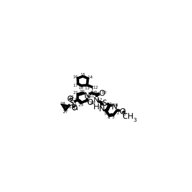 COc1ccc2nc(NC(=O)[C@@H](CC3CCCCC3)n3ccc(S(=O)(=O)C4CC4)cc3=O)sc2n1